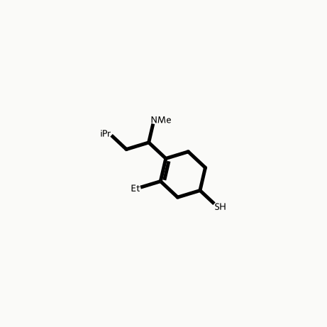 CCC1=C(C(CC(C)C)NC)CCC(S)C1